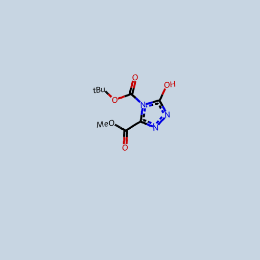 COC(=O)c1nnc(O)n1C(=O)OC(C)(C)C